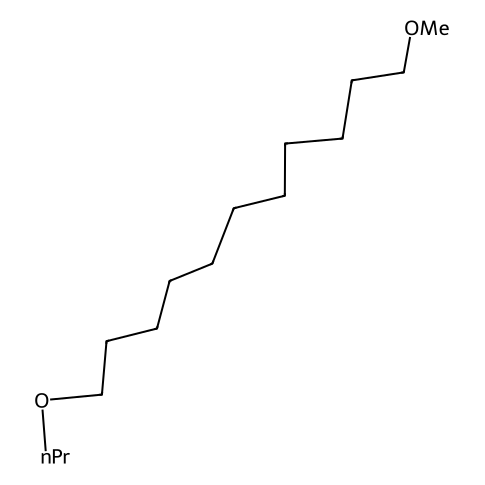 [CH2]CCOCCCCCCCCCCCOC